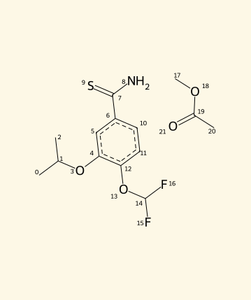 CC(C)Oc1cc(C(N)=S)ccc1OC(F)F.COC(C)=O